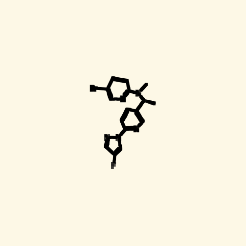 C[C@@H](c1ccc(-n2cc(F)cn2)nc1)N(C)c1ccc(Br)cn1